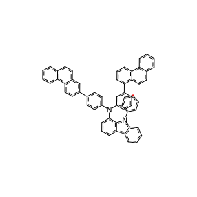 c1ccc(-n2c3ccccc3c3cccc(N(c4ccc(-c5ccc6c(ccc7ccccc76)c5)cc4)c4cccc(-c5cccc6c5ccc5ccccc56)c4)c32)cc1